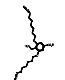 [N-]=[N+]=NCCCCCCOc1cc(C(=O)O)cc(OCCCCCCN=[N+]=[N-])c1CN